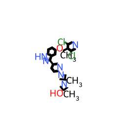 C[C@@H](Oc1ccc2[nH]nc(-c3ccc(N4CC(C)(N5CC(C)(O)C5)C4)nc3)c2c1)c1c(Cl)cncc1Cl